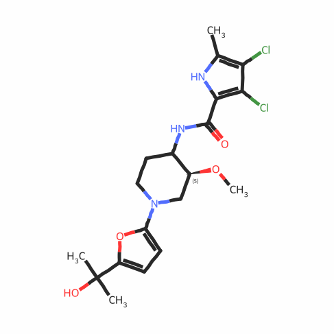 CO[C@H]1CN(c2ccc(C(C)(C)O)o2)CCC1NC(=O)c1[nH]c(C)c(Cl)c1Cl